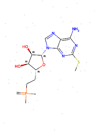 C=P(C)(C)CC[C@H]1O[C@@H](n2cnc3c(N)nc(SC)nc32)[C@H](O)[C@@H]1O